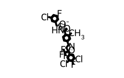 Cc1cc(C2=NOC(c3cc(Cl)c(F)c(Cl)c3)(C(F)(F)F)C2)ccc1C(=O)N[S+]([O-])Cc1cc(F)cc(Cl)c1